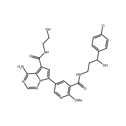 COc1ncc(-c2cc(C(=O)NCCO)c3c(N)ncnn23)cc1C(=O)NCCC(O)c1ccc(Cl)cc1